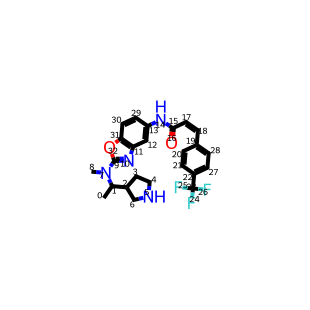 CC(C1CCNC1)N(C)c1nc2cc(NC(=O)/C=C\c3ccc(C(F)(F)F)cc3)ccc2o1